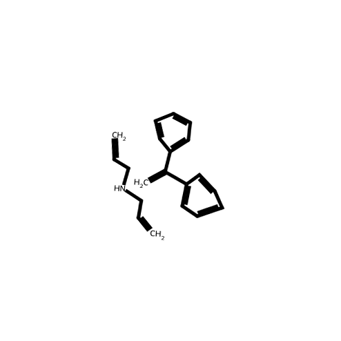 C=C(c1ccccc1)c1ccccc1.C=CCNCC=C